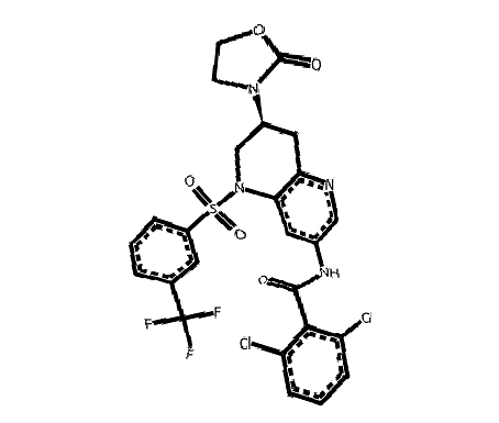 O=C(Nc1cnc2c(c1)N(S(=O)(=O)c1cccc(C(F)(F)F)c1)C[C@@H](N1CCOC1=O)C2)c1c(Cl)cccc1Cl